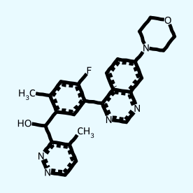 Cc1cc(F)c(-c2ncnc3cc(N4CCOCC4)ccc23)cc1C(O)c1nnccc1C